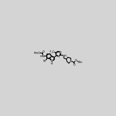 COC(=O)Nc1ccc2c(-c3nc(NCC4CCN(C(=O)OC(C)(C)C)CC4)ncc3C(F)(F)F)c[nH]c2c1Br